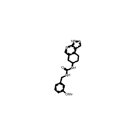 COc1cccc(CNC(=O)NC2CCc3c(cnc4[nH]ncc34)C2)c1